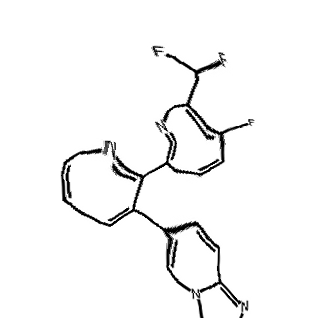 Fc1ccc(-c2ncccc2-c2ccc3nccn3c2)nc1C(F)F